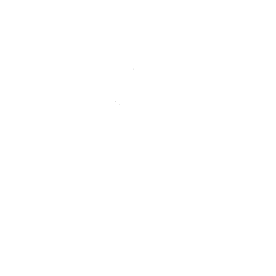 COC(=O)C(CC(C)C)NC(=O)CCC(N)C(=O)O